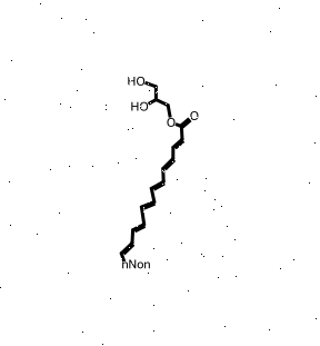 CCCCCCCCCC=CC=CC=CC=CC=CC=CC(=O)OCC(O)CO